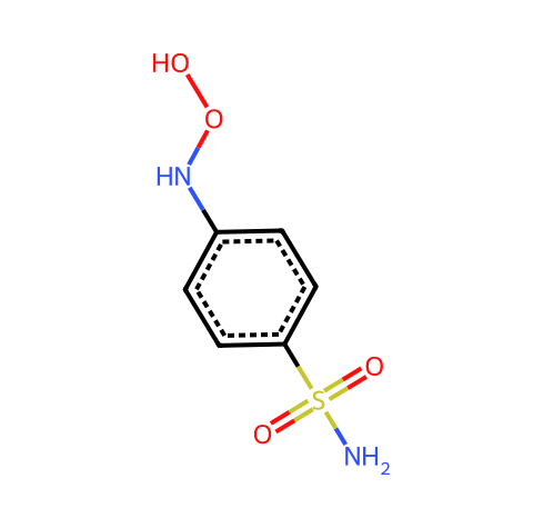 NS(=O)(=O)c1ccc(NOO)cc1